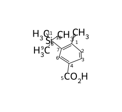 Cc1ccc(C(=O)O)cc1[Si](C)(C)C